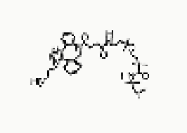 CNCCCn1nnc2c1-c1ccccc1CN(C(=O)CCC(=O)NCCC(C)(C)OCCC(C)(C)C(=O)NC(C)(C)CC(C)C)c1ccccc1-2